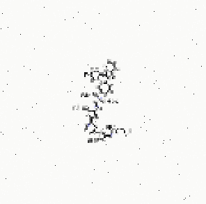 C=C(S/C(=C\C)c1cc(CCCCCC)c(/C=C/C(CCCCCC)=C(\SC)C2=CC=C(c3nc4ccccc4n3-c3ccc(F)cc3)CC=C2)s1)c1sc(/C=C(\C#N)C(=O)O)cc1C(C)CC